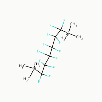 C[Si](C)(C)C(F)(F)C(F)(F)C(F)(F)C(F)(F)C(F)(F)C(F)(F)[Si](C)(C)C